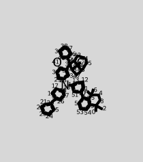 CC1(C)CCC(C)(C)c2c(-c3cccc(N(c4ccc(-c5ccccc5)cc4)c4ccc5c(c4)C4(c6ccccc6O5)C5CC6CC7CC4C75C6)c3)cccc21